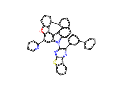 c1ccc(-c2cccc(-c3nc4c(nc3-n3c5ccc6cccc7c6c5c5c6c(oc8cccc-7c86)c(-c6ccccn6)cc53)sc3ccccc34)c2)cc1